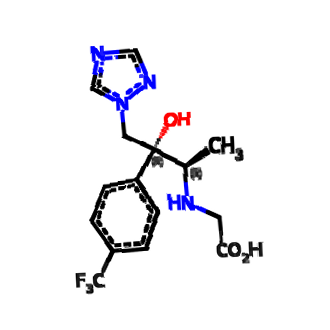 C[C@@H](NCC(=O)O)[C@](O)(Cn1cncn1)c1ccc(C(F)(F)F)cc1